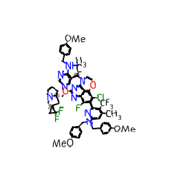 COc1ccc(CNc2ncncc2[C@@H](C)N2CCOc3c(Cl)c(-c4nc(N(Cc5ccc(OC)cc5)Cc5ccc(OC)cc5)cc(C)c4C(F)(F)F)c(F)c4nc(OC[C@@]56CCCN5C[C@]5(CC5(F)F)C6)nc2c34)cc1